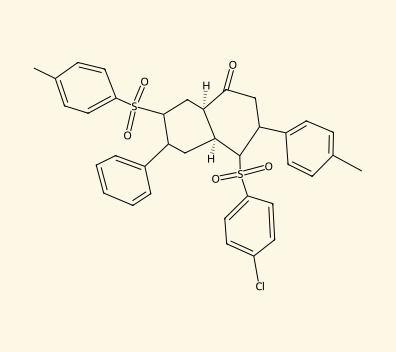 Cc1ccc(C2CC(=O)[C@@H]3CC(S(=O)(=O)c4ccc(C)cc4)C(c4ccccc4)C[C@@H]3C2S(=O)(=O)c2ccc(Cl)cc2)cc1